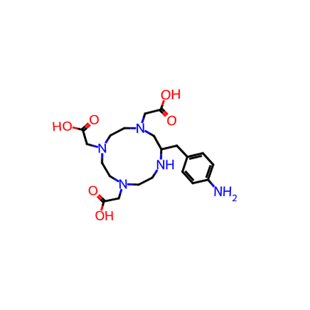 Nc1ccc(CC2CN(CC(=O)O)CCN(CC(=O)O)CCN(CC(=O)O)CCN2)cc1